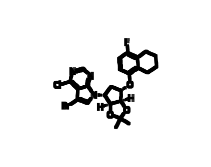 CC1(C)O[C@@H]2[C@H](O1)[C@@H](Oc1ccc(F)c3c1CCCC3)C[C@H]2n1cc(Br)c2c(Cl)ncnc21